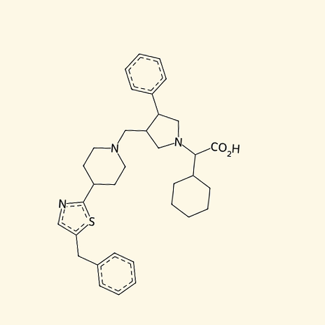 O=C(O)C(C1CCCCC1)N1CC(CN2CCC(c3ncc(Cc4ccccc4)s3)CC2)C(c2ccccc2)C1